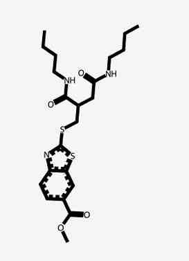 CCCCNC(=O)CC(CSc1nc2ccc(C(=O)OC)cc2s1)C(=O)NCCCC